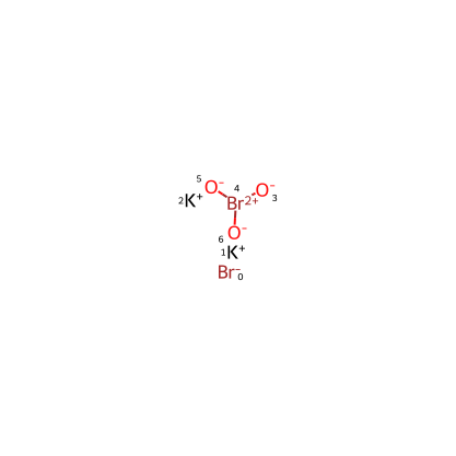 [Br-].[K+].[K+].[O-][Br+2]([O-])[O-]